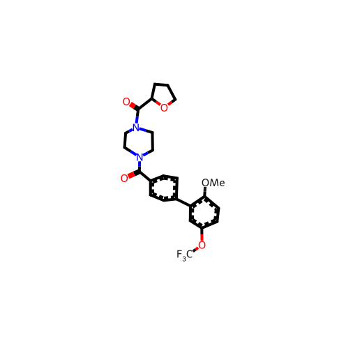 COc1ccc(OC(F)(F)F)cc1-c1ccc(C(=O)N2CCN(C(=O)C3CCCO3)CC2)cc1